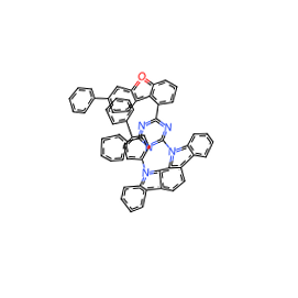 c1ccc(-c2ccc(-n3c4ccccc4c4ccc5c6ccccc6n(-c6nc(-c7ccccc7)nc(-c7cccc8oc9cc(-c%10ccccc%10)ccc9c78)n6)c5c43)cc2)cc1